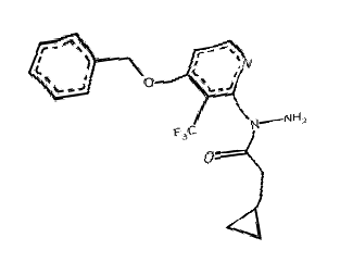 NN(C(=O)CC1CC1)c1nccc(OCc2ccccc2)c1C(F)(F)F